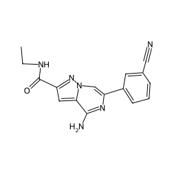 CCNC(=O)c1cc2c(N)nc(-c3cccc(C#N)c3)cn2n1